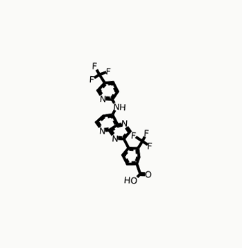 O=C(O)c1ccc(-c2cnc3c(Nc4ccc(C(F)(F)F)cn4)ccnc3n2)c(C(F)(F)F)c1